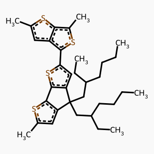 CCCCC(CC)CC1(CC(CC)CCCC)c2cc(C)sc2-c2sc(-c3sc(C)c4sc(C)cc34)cc21